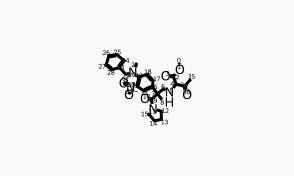 COC(=O)C(NCC(C)(C(=O)N1CCCC1)c1ccc(N(C)Cc2ccccc2)c([N+](=O)[O-])c1)C(C)=O